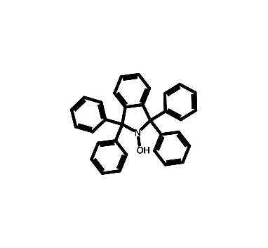 ON1C(c2ccccc2)(c2ccccc2)c2ccccc2C1(c1ccccc1)c1ccccc1